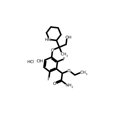 CCOC(C(N)=O)c1c(F)ccc(OC(C)(CO)C2CCCCN2)c1F.Cl.Cl